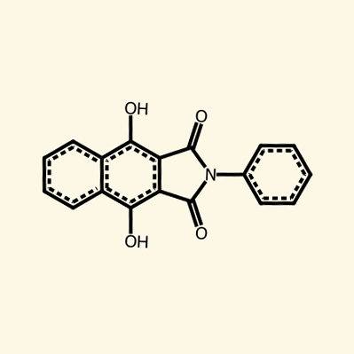 O=C1c2c(c(O)c3ccccc3c2O)C(=O)N1c1ccccc1